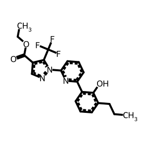 CCCc1cccc(-c2cccc(-n3ncc(C(=O)OCC)c3C(F)(F)F)n2)c1O